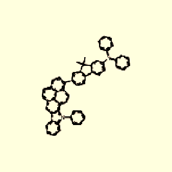 CC1(C)c2cc(-c3ccc4ccc5cc6c7ccccc7n(-c7ccccc7)c6c6ccc3c4c56)ccc2-c2ccc(N(c3ccccc3)c3ccccc3)cc21